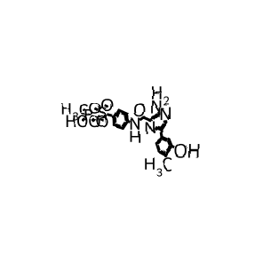 Cc1ccc(-c2cnc(N)c(C(=O)Nc3ccc(S(=O)(=O)OP(C)(=O)O)cc3)n2)cc1O